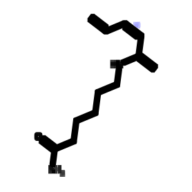 C=C/C=C\C(=C)NCCCCCC(N)=O